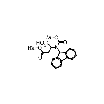 COC(=O)N(C(CC(=O)OC(C)(C)C)C(=O)O)C1c2ccccc2-c2ccccc21